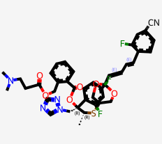 C[C@@H](SC1COC(/C=C/C=C/c2ccc(C#N)cc2F)OC1)[C@@](Cn1cncn1)(OC(=O)c1ccccc1COC(=O)CCN(C)C)c1ccc(F)cc1F